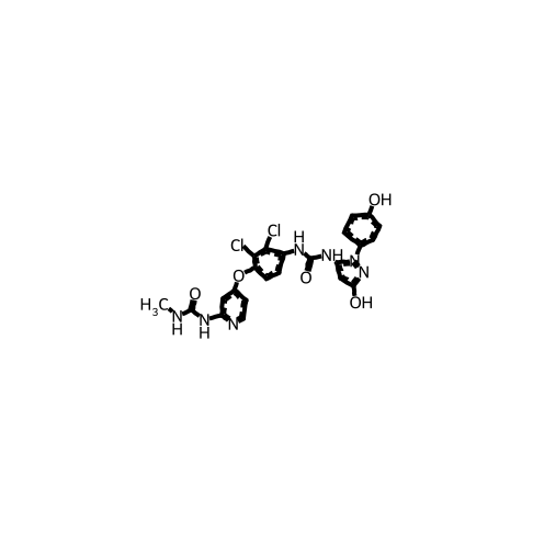 CNC(=O)Nc1cc(Oc2ccc(NC(=O)Nc3cc(O)nn3-c3ccc(O)cc3)c(Cl)c2Cl)ccn1